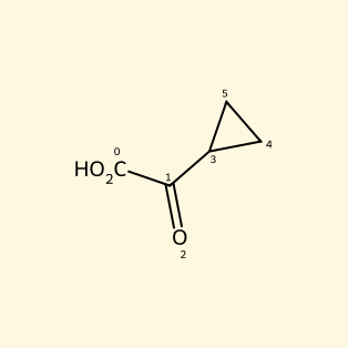 O=C(O)C(=O)C1CC1